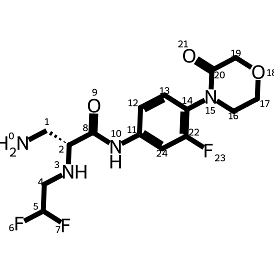 NC[C@@H](NCC(F)F)C(=O)Nc1ccc(N2CCOCC2=O)c(F)c1